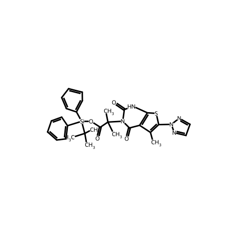 Cc1c(-n2nccn2)sc2[nH]c(=O)n(C(C)(C)C(=O)O[Si](c3ccccc3)(c3ccccc3)C(C)(C)C)c(=O)c12